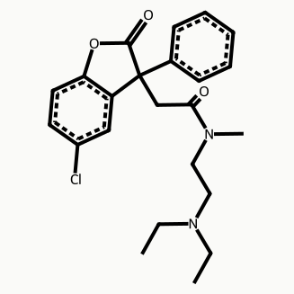 CCN(CC)CCN(C)C(=O)CC1(c2ccccc2)C(=O)Oc2ccc(Cl)cc21